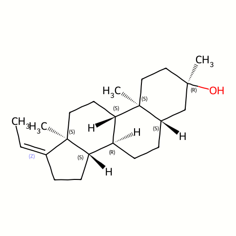 C/C=C1/CC[C@H]2[C@@H]3CC[C@H]4C[C@](C)(O)CC[C@]4(C)[C@H]3CC[C@]12C